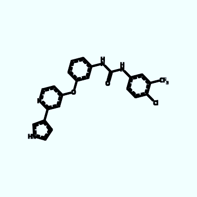 O=C(Nc1cccc(Oc2ccnc(-c3cc[nH]c3)c2)c1)Nc1ccc(Cl)c(C(F)(F)F)c1